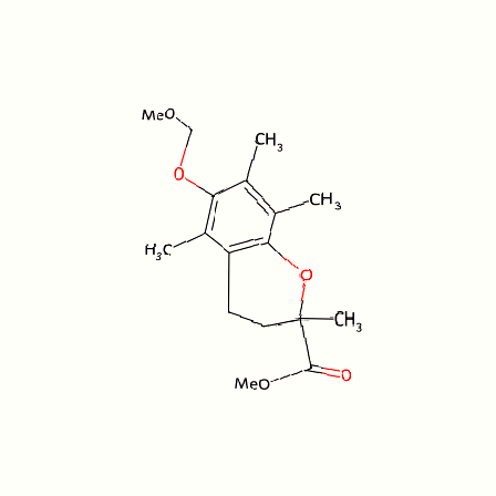 COCOc1c(C)c(C)c2c(c1C)CCC(C)(C(=O)OC)O2